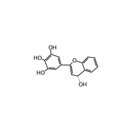 Oc1cc(C2=C[C@@H](O)c3ccccc3O2)cc(O)c1O